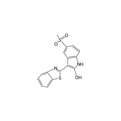 CS(=O)(=O)c1ccc2[nH]c(O)c(-c3nc4ccccc4s3)c2c1